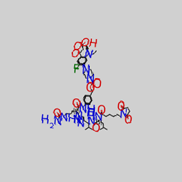 C#CN(CC)c1cc(N2CCN(C(=O)OCc3ccc(NC(=O)[C@H](CCCNC(N)=O)n4cc(C(NC(=O)[C@H](CC(C)C)NC(=O)CCCCCN5C(=O)CCC5=O)C(C)C)nn4)cc3)CC2)c(F)cc1C(=O)CC(=O)O